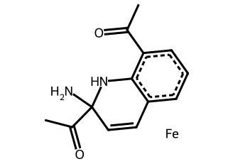 CC(=O)c1cccc2c1NC(N)(C(C)=O)C=C2.[Fe]